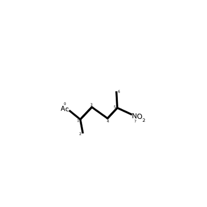 CC(=O)C(C)CCC(C)[N+](=O)[O-]